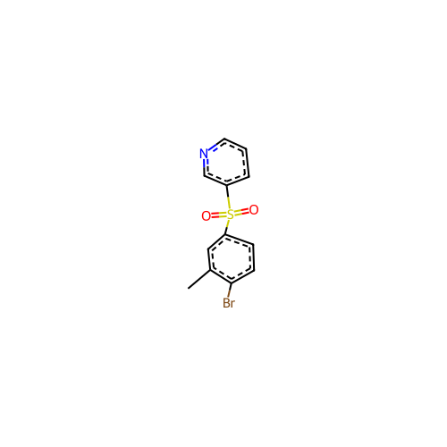 Cc1cc(S(=O)(=O)c2cccnc2)ccc1Br